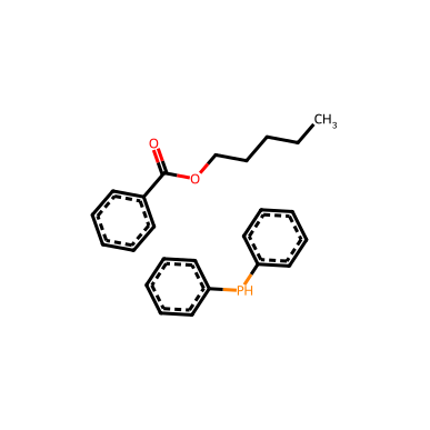 CCCCCOC(=O)c1ccccc1.c1ccc(Pc2ccccc2)cc1